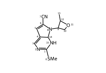 CSC1=NC=C2C=C(C#N)N(C3COC3C)C2N1